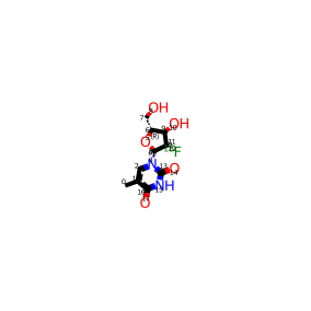 Cc1cn([C@@H]2O[C@H](CO)C(O)[C@H]2[18F])c(=O)[nH]c1=O